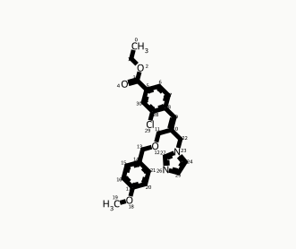 CCOC(=O)c1ccc(C=C(COCc2ccc(OC)cc2)Cn2ccnc2)c(Cl)c1